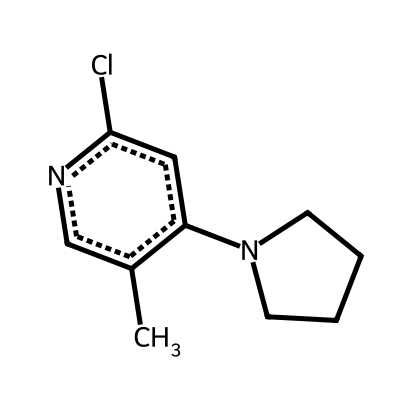 Cc1cnc(Cl)cc1N1CCCC1